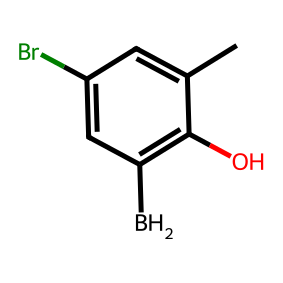 Bc1cc(Br)cc(C)c1O